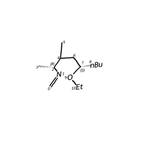 C=N[C@H](C)C(C)C[C@H](CCCC)OCC